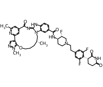 Cc1cc2cc(n1)-c1cnn(C)c1OCCC[C@@H](C)CN1/C(=N/C2=O)Nc2ccc(C(=O)N[C@@H]3CCN(CCc4cc(F)c([C@H]5CCC(=O)NC5=O)c(F)c4)C[C@H]3F)cc21